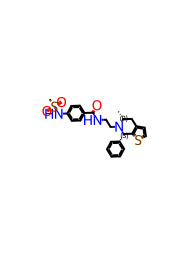 C[C@@H]1Cc2ccsc2[C@H](c2ccccc2)N1CCNC(=O)c1ccc(NS(C)(=O)=O)cc1